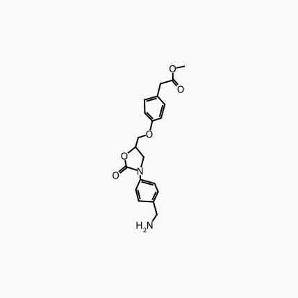 COC(=O)Cc1ccc(OCC2CN(c3ccc(CN)cc3)C(=O)O2)cc1